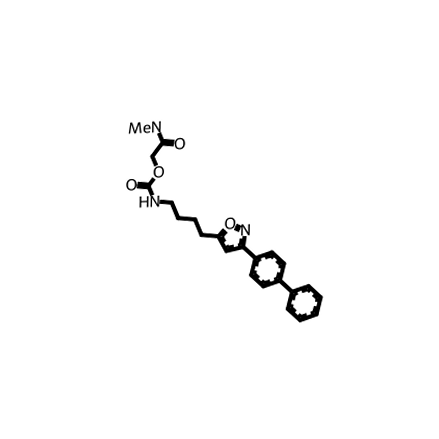 CNC(=O)COC(=O)NCCCCc1cc(-c2ccc(-c3ccccc3)cc2)no1